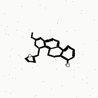 CCC1=Cc2ccc3c(c2C(Cc2ccco2)C1)CCc1c(Cl)cccc1-3